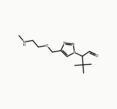 CNCCOCc1cn(C(C=O)C(C)(C)C)nn1